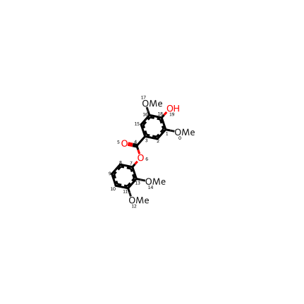 COc1cc(C(=O)Oc2cccc(OC)c2OC)cc(OC)c1O